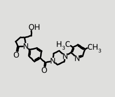 Cc1cnc(N2CCN(C(=O)c3ccc(N4C(=O)CCC4CO)cc3)CC2)c(C)c1